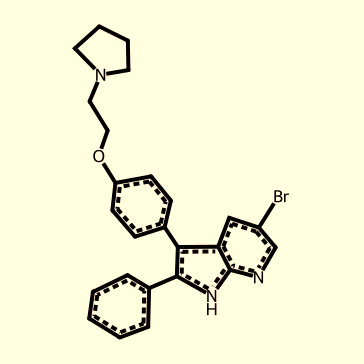 Brc1cnc2[nH]c(-c3ccccc3)c(-c3ccc(OCCN4CCCC4)cc3)c2c1